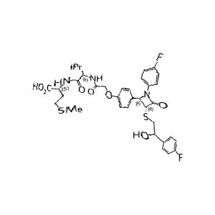 CSCC[C@H](NC(=O)[C@H](NC(=O)COc1ccc([C@@H]2[C@@H](SCC(O)c3ccc(F)cc3)C(=O)N2c2ccc(F)cc2)cc1)C(C)C)C(=O)O